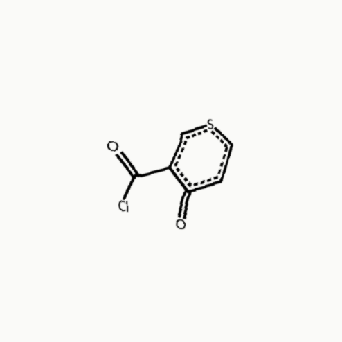 O=C(Cl)c1csccc1=O